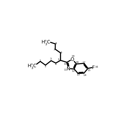 CCCCCC(CCCC)c1nc2ccc(F)cc2o1